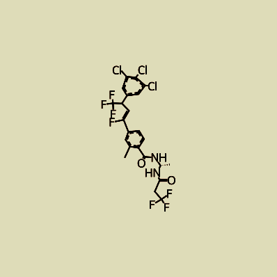 Cc1cc(/C(F)=C/C(c2cc(Cl)c(Cl)c(Cl)c2)C(F)(F)F)ccc1C(=O)N[C@H](C)NC(=O)CC(F)(F)F